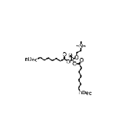 CCCCCCCCCCCCCCCCC(=O)OP(=O)(OCC[N+](C)(C)C)OC(=O)CCCCCCCCCCCCCCCC